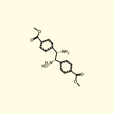 COC(=O)c1ccc([C@H](N)[C@@H](N)c2ccc(C(=O)OC)cc2)cc1.Cl